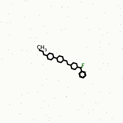 CCCCC1CCC(C2CCC(CCC3CCC(C(F)c4ccccc4)CC3)CC2)CC1